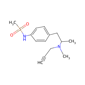 C#CCN(C)C(C)Cc1ccc(NS(C)(=O)=O)cc1